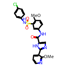 COc1ccc(NC(=O)c2cnc(-c3cccnc3OC)[nH]2)cc1S(=O)(=O)Nc1ccc(Cl)cc1